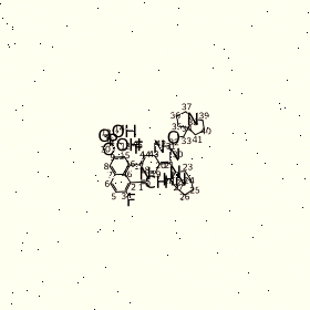 C#Cc1c(F)ccc2cc(OP(=O)(O)O)cc(-c3ncc4c(N5CC6CCC(C5)N6)nc(OCC56CCCN5CCC6)nc4c3F)c12